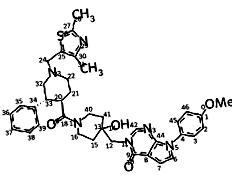 COc1ccc(-n2ccc3c(=O)n(CC4(O)CCN(C(=O)[C@@H]5CCN(Cc6sc(C)nc6C)C[C@H]5c5ccccc5)CC4)cnc32)cc1